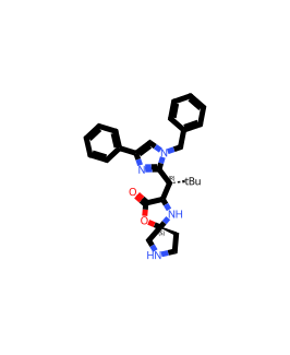 CC(C)(C)[C@@H](c1nc(-c2ccccc2)cn1Cc1ccccc1)C1N[C@@]2(CCNC2)OC1=O